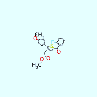 CCOC(=O)Cc1cc(C(=O)c2ccccc2F)sc1-c1ccc(OC)cc1